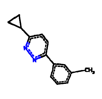 Cc1cccc(-c2ccc(C3CC3)nn2)c1